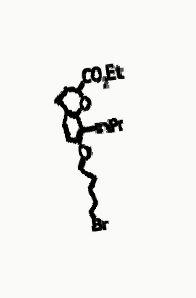 CCCc1c(OCCCCCBr)ccc2c1OC(C(=O)OCC)CC2